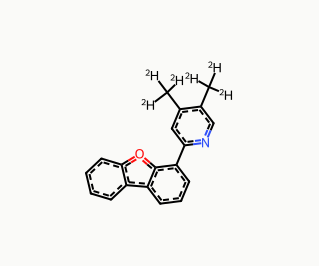 [2H]C([2H])([2H])c1cnc(-c2cccc3c2oc2ccccc23)cc1C([2H])([2H])[2H]